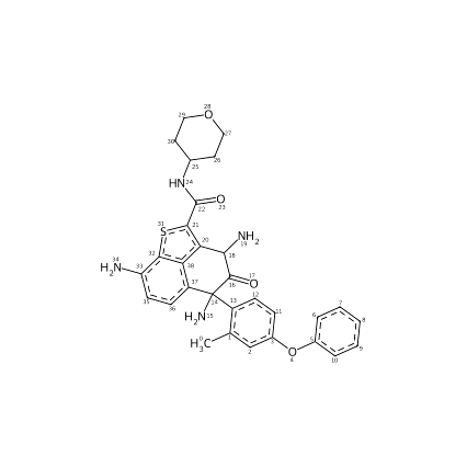 Cc1cc(Oc2ccccc2)ccc1C1(N)C(=O)C(N)c2c(C(=O)NC3CCOCC3)sc3c(N)ccc1c23